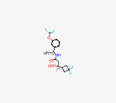 CCC[C@H](NC(=O)C[C@](C)(O)C1CC(F)(F)C1)c1cccc(OC(F)F)c1